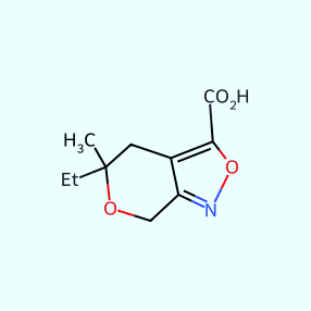 CCC1(C)Cc2c(noc2C(=O)O)CO1